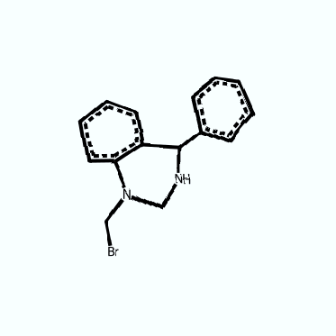 BrCN1CNC(c2ccccc2)c2ccccc21